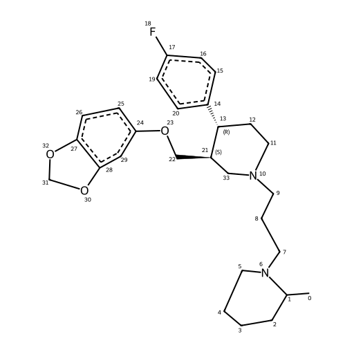 CC1CCCCN1CCCN1CC[C@@H](c2ccc(F)cc2)[C@H](COc2ccc3c(c2)OCO3)C1